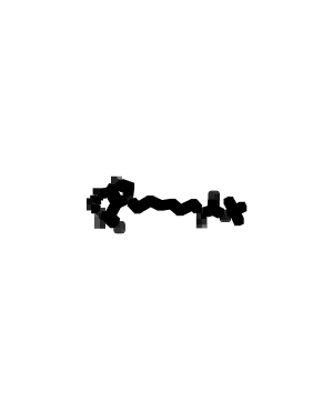 CC(C)(C)OC(=O)NCCCCCCn1cnc2nn[nH]c(=O)c21